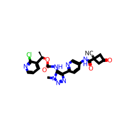 C[C@@H](OC(=O)Nc1c(-c2ccc(NC(=O)C3(C#N)CC(=O)C3)cn2)nnn1C)c1cccnc1Cl